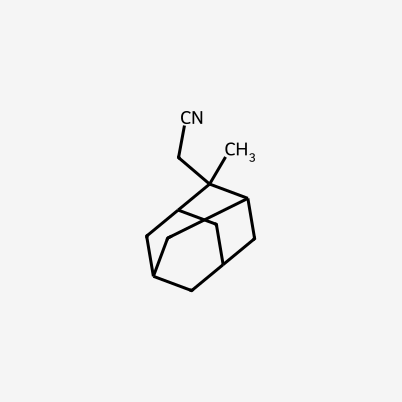 CC1(CC#N)C2CC3CC(C2)CC1C3